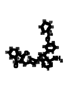 Nc1ncnc2c1c(-c1cccc(OCc3ccccc3)c1)cn2C1CC(CN2C(=O)c3ccccc3C2=O)C1